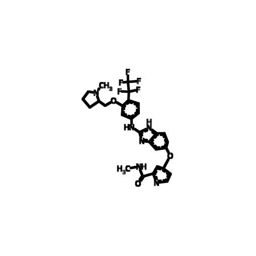 CNC(=O)c1cc(Oc2ccc3[nH]c(Nc4ccc(C(F)(F)C(F)(F)F)c(OCC5CCCN5C)c4)nc3c2)ccn1